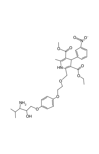 CCOC(=O)C1=C(COCCOc2ccc(OCC(O)C(N)C(C)C)cc2)NC(C)=C(C(=O)OC)C1c1cccc([N+](=O)[O-])c1